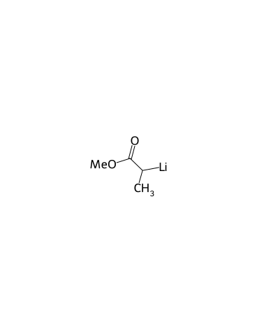 [Li][CH](C)C(=O)OC